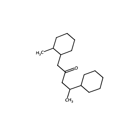 CC(CC(=O)CC1CCCCC1C)C1CCCCC1